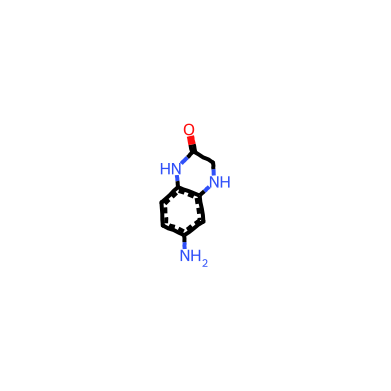 Nc1ccc2c(c1)NCC(=O)N2